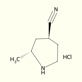 C[C@@H]1C[C@@H](C#N)CCN1.Cl